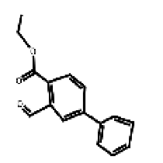 CCOC(=O)c1ccc(-c2ccccc2)cc1C=O